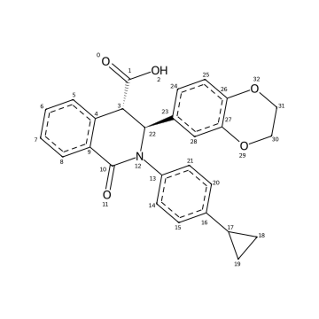 O=C(O)[C@H]1c2ccccc2C(=O)N(c2ccc(C3CC3)cc2)[C@@H]1c1ccc2c(c1)OCCO2